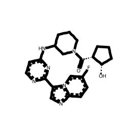 O=C([C@@H]1CCC[C@@H]1O)N1CCCC(Nc2ccnc(-c3cnc4ccc(F)cn34)n2)C1